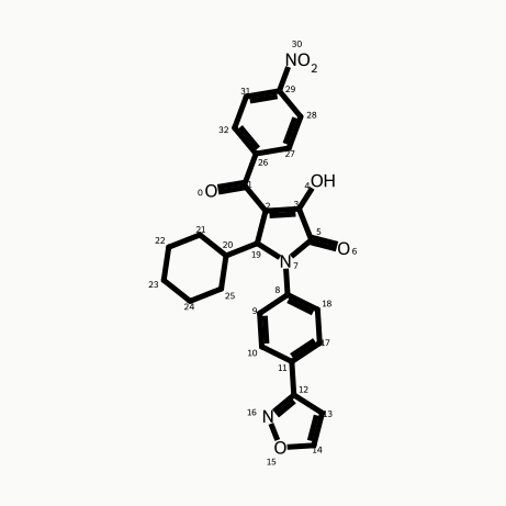 O=C(C1=C(O)C(=O)N(c2ccc(-c3ccon3)cc2)C1C1CCCCC1)c1ccc([N+](=O)[O-])cc1